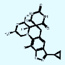 C[C@@H]1CN2c3c(cc4c(C5CC5)noc4c3F)CC3(C(=O)NC(=O)NC3=O)[C@H]2[C@H](C)O1